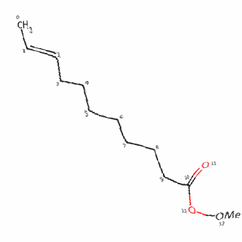 CC=CCCCCCCCC(=O)OOC